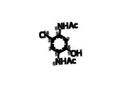 CC(=O)Nc1cc(Cl)c(NC(C)=O)cc1O